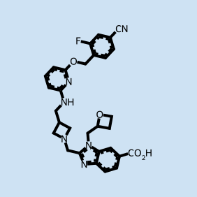 N#Cc1ccc(COc2cccc(NCC3CN(Cc4nc5ccc(C(=O)O)cc5n4CC4CCO4)C3)n2)c(F)c1